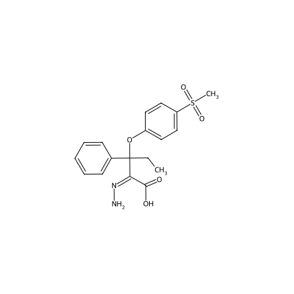 CCC(Oc1ccc(S(C)(=O)=O)cc1)(C(=NN)C(=O)O)c1ccccc1